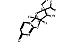 O=c1ccn2c(n1)O[C@@H]1[C@H]2O[C@@](CO)(C(F)F)[C@H]1O